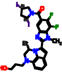 CCC1CN(CCCO)c2cccc3cc(-c4nc5cc(C(=O)N6C[C@@H](I)C[C@H]6I)c(F)c(F)c5n4C)n1c23